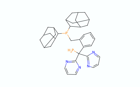 PC(c1ncccn1)(c1ncccn1)c1ccccc1CP(C1C2CC3CC(C2)CC1C3)C1C2CC3CC(C2)CC1C3